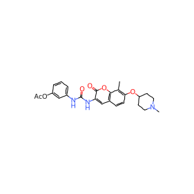 CC(=O)Oc1cccc(NC(=O)Nc2cc3ccc(OC4CCN(C)CC4)c(C)c3oc2=O)c1